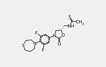 CC(=S)NC[C@H]1CN(c2cc(F)c(N3CCCSCC3)c(F)c2)C(=O)O1